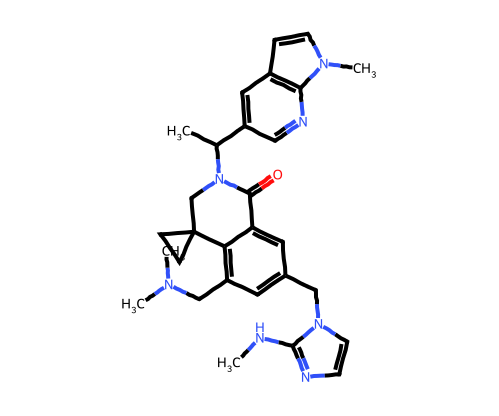 CNc1nccn1Cc1cc(CN(C)C)c2c(c1)C(=O)N(C(C)c1cnc3c(ccn3C)c1)CC21CC1